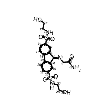 NC(=O)CN=C1c2cc(S(=O)(=O)NCCO)ccc2-c2ccc(S(=O)(=O)NCCO)cc21